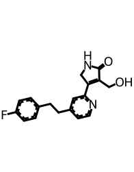 O=C1NCC(c2cc(CCc3ccc(F)cc3)ccn2)=C1CO